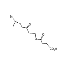 CCN(C)CCC(=O)CCOC(=O)CCC(=O)O